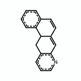 C1=Cc2ccccc2C2Cc3cccnc3C=C12